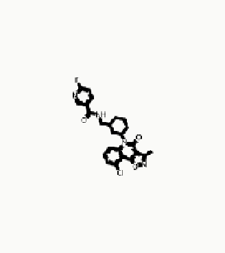 Cc1noc2c1c(=O)n(C1CCCC(CNC(=O)c3ccc(F)nc3)C1)c1cccc(Cl)c21